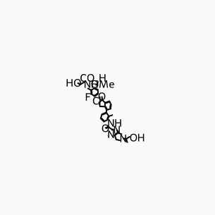 COc1cc(OC2CCc3c(-c4cccc(NC(=O)c5nc6c(n5C)CCN(C(C)CO)C6)c4C)cccc32)c(Cl)c(F)c1CNC(CO)C(=O)O